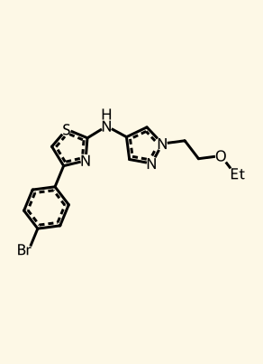 CCOCCn1cc(Nc2nc(-c3ccc(Br)cc3)cs2)cn1